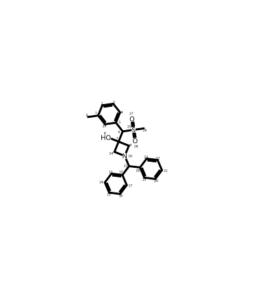 Cc1cccc(C(C2(O)CN(C(c3ccccc3)c3ccccc3)C2)S(C)(=O)=O)c1